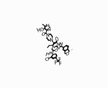 CCc1c(N2CCN(C(=O)c3ncnc(C)c3O)CC2)c(=O)n2nc(-c3ccc4c(c3)CO[C@H]4C)nc2n1CC(=O)Nc1ccc(C(F)(F)F)cc1Cl